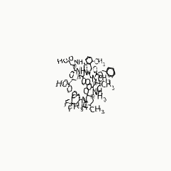 Cc1ccccc1C[C@H](NC(=O)[C@H](CCC(=O)O)NC(=O)[C@@H](N)CC(=O)O)C(=O)N(C(=O)OCc1ccccc1)[C@H](C(=O)N[C@@H](CC(C)C)C(=O)NC(C=O)CC(F)(F)F)C(C)(C)C